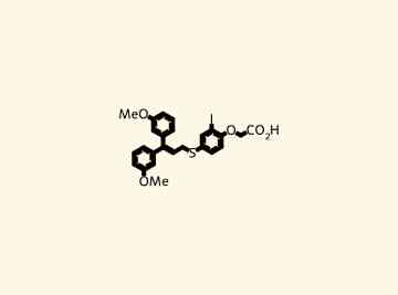 COc1cccc(C(=CCSc2ccc(OCC(=O)O)c(I)c2)c2cccc(OC)c2)c1